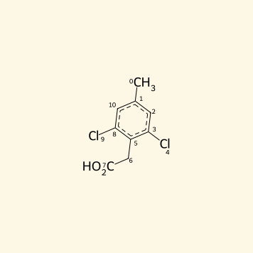 Cc1cc(Cl)c(CC(=O)O)c(Cl)c1